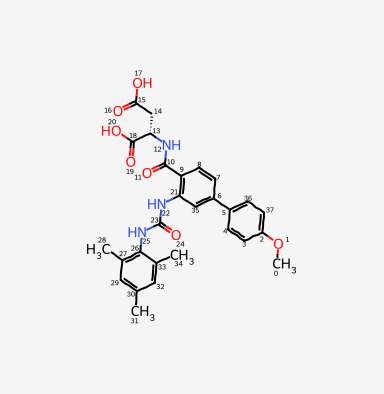 COc1ccc(-c2ccc(C(=O)N[C@@H](CC(=O)O)C(=O)O)c(NC(=O)Nc3c(C)cc(C)cc3C)c2)cc1